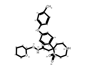 Cc1ccc(Oc2ccc(C3(CC(=O)NOC4CCCCO4)CCNCCS3(=O)=O)cc2)cc1